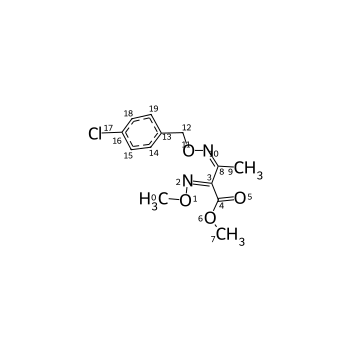 CON=C(C(=O)OC)C(C)=NOCc1ccc(Cl)cc1